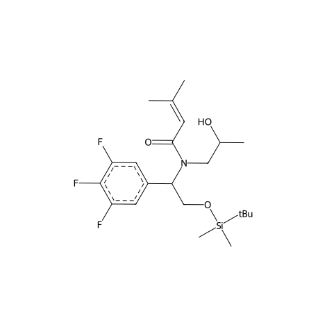 CC(C)=CC(=O)N(CC(C)O)C(CO[Si](C)(C)C(C)(C)C)c1cc(F)c(F)c(F)c1